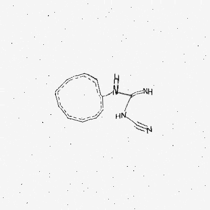 N#CNC(=N)Nc1ccccccccc1